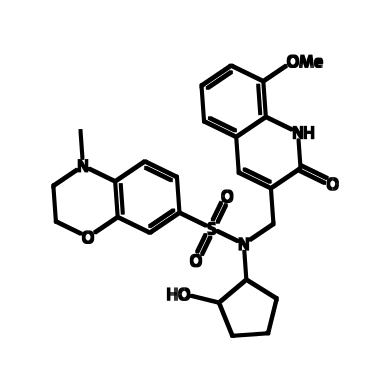 COc1cccc2cc(CN(C3CCCC3O)S(=O)(=O)c3ccc4c(c3)OCCN4C)c(=O)[nH]c12